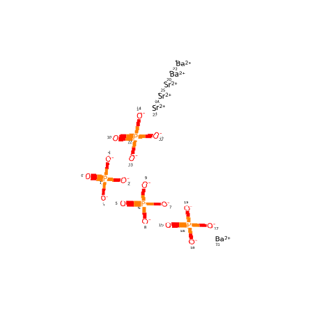 O=P([O-])([O-])[O-].O=P([O-])([O-])[O-].O=P([O-])([O-])[O-].O=P([O-])([O-])[O-].[Ba+2].[Ba+2].[Ba+2].[Sr+2].[Sr+2].[Sr+2]